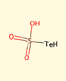 O=S(=O)(O)[TeH]